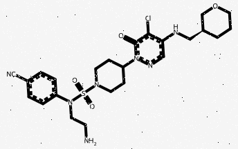 N#Cc1ccc(N(CCN)S(=O)(=O)N2CCC(n3ncc(NC[C@@H]4CCCOC4)c(Cl)c3=O)CC2)cc1